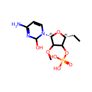 CC[C@H]1O[C@@H](N2C=CC(N)=NC2O)C(OC)C1OP(=O)(O)O